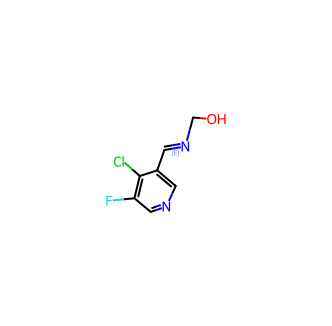 OC/N=C/c1cncc(F)c1Cl